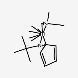 C[SiH](C)[Ti]([CH3])([CH3])([CH3])([CH3])([CH3])([CH3])([NH]C(C)(C)C)[CH]1C=CC=C1